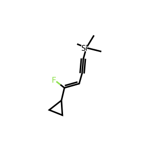 C[Si](C)(C)C#C/C=C(\F)C1CC1